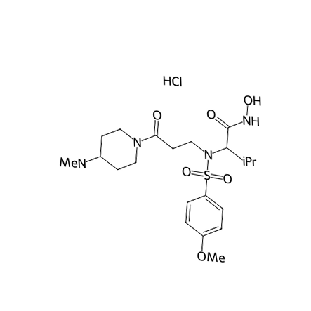 CNC1CCN(C(=O)CCN(C(C(=O)NO)C(C)C)S(=O)(=O)c2ccc(OC)cc2)CC1.Cl